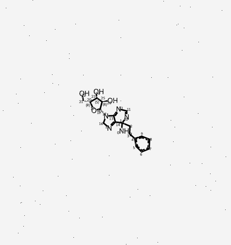 NC1(CCc2ccccc2)N=CN=C2C1=NCN2[C@@H]1O[C@H](CO)[C@@H](O)[C@H]1O